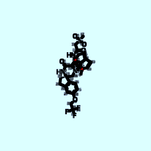 CC1=C/CC/C=C(c2nn3c(c2NC(=O)CS(C)(=O)=O)C(=O)N[C@@]2(CCc4cc(OCC(F)(F)F)ccc42)C3)/C=C\1